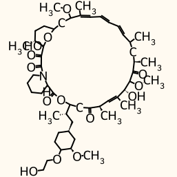 COC1CC2CC[C@@H](C)[C@@](O)(O2)C(=O)C(=O)N2CCCC[C@H]2C(=O)OC([C@@H](C)C[C@@H]2CCC(OCCO)[C@H](OC)C2)CC(=O)[C@H](C)/C=C(\C)[C@@H](O)C(OC)C(=O)[C@H](C)CC(C)/C=C/C=C/C=C/1C